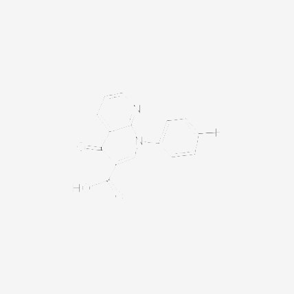 O=C(O)c1cn(-c2ccc(F)cc2)c2ncccc2c1=O